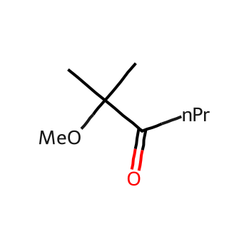 CCCC(=O)C(C)(C)OC